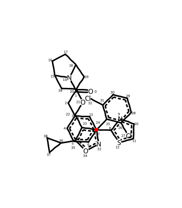 O=C(Cc1cccc(-c2nccs2)c1)N1C2CCC1CC(OCc1c(-c3c(Cl)cccc3Cl)noc1C1CC1)C2